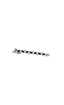 OCCOCCOCCOCCOCCOCCOCC(O)(Br)Br